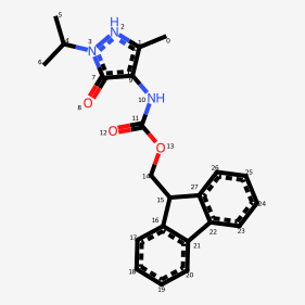 Cc1[nH]n(C(C)C)c(=O)c1NC(=O)OCC1c2ccccc2-c2ccccc21